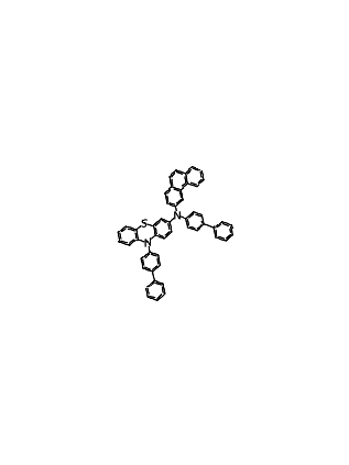 c1ccc(-c2ccc(N(c3ccc4c(c3)Sc3ccccc3N4c3ccc(-c4ccccc4)cc3)c3ccc4ccc5ccccc5c4c3)cc2)cc1